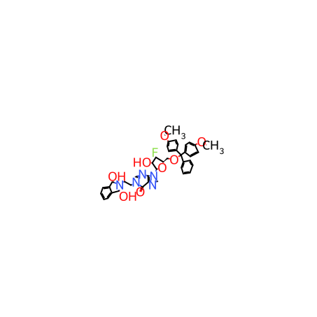 COc1ccc(C(OC[C@H]2O[C@@H](n3cnc4c(=O)n(CCN5C(O)c6ccccc6C5O)cnc43)[C@H](O)[C@@H]2F)(c2ccccc2)c2ccc(OC)cc2)cc1